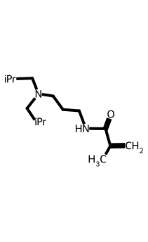 C=C(C)C(=O)NCCCN(CC(C)C)CC(C)C